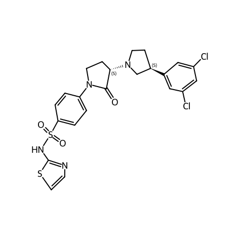 O=C1[C@@H](N2CC[C@@H](c3cc(Cl)cc(Cl)c3)C2)CCN1c1ccc(S(=O)(=O)Nc2nccs2)cc1